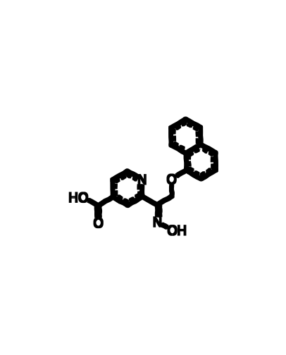 O=C(O)c1ccnc(/C(COc2cccc3ccccc23)=N/O)c1